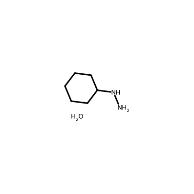 NNC1CCCCC1.O